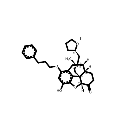 C[N@+]1(C[C@H]2CCCO2)CC[C@]23c4c5c(OCCCc6ccccc6)cc(O)c4O[C@H]2C(=O)CC[C@H]3[C@H]1C5.[I-]